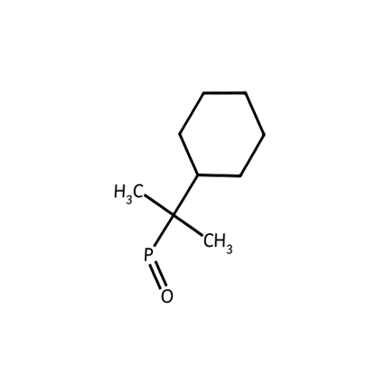 CC(C)(P=O)C1CCCCC1